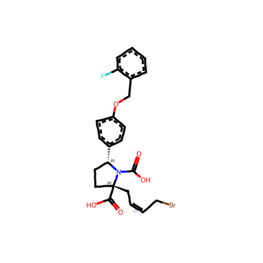 O=C(O)N1[C@@H](c2ccc(OCc3ccccc3F)cc2)CC[C@@]1(C/C=C\CBr)C(=O)O